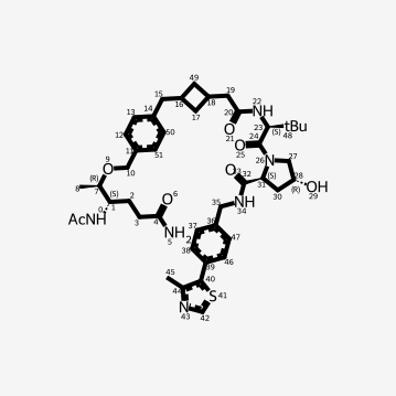 CC(=O)N[C@@H](CCC(N)=O)[C@@H](C)OCc1ccc(CC2CC(CC(=O)N[C@H](C(=O)N3C[C@H](O)C[C@H]3C(=O)NCc3ccc(-c4scnc4C)cc3)C(C)(C)C)C2)cc1